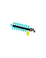 CC(F)(S)C(F)(F)C(F)(F)C(F)(F)C(F)(F)C(F)(F)C(F)(F)C(F)(F)F